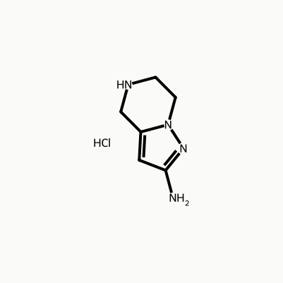 Cl.Nc1cc2n(n1)CCNC2